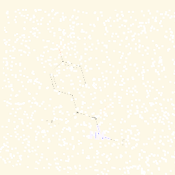 CCCCNC(=O)C(OC)c1ccc(O)cc1